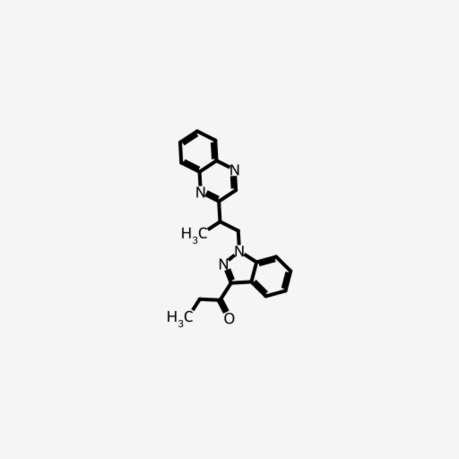 CCC(=O)c1nn(CC(C)c2cnc3ccccc3n2)c2ccccc12